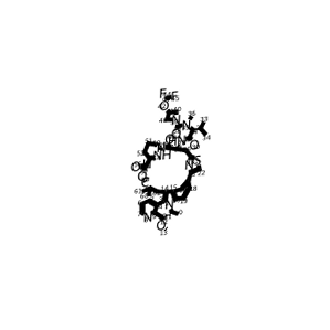 CCn1c(-c2cccnc2[C@H](C)OC)c2c3cc(ccc31)-c1csc(n1)C[C@H](NC(=O)[C@H](C(C)C)N(C)C(=O)N1CC(OC(F)F)C1)C(=O)N1CCC[C@H](N1)C(=O)OCC(C)(C)C2